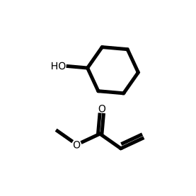 C=CC(=O)OC.OC1CCCCC1